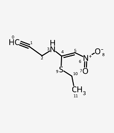 C#CCNC(=C[N+](=O)[O-])SCC